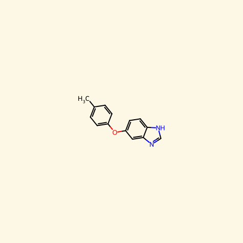 Cc1ccc(Oc2ccc3[nH]cnc3c2)cc1